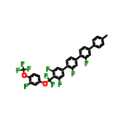 Cc1ccc(-c2ccc(-c3ccc(-c4cc(F)c(C(F)(F)Oc5ccc(OC(F)(F)F)c(F)c5)c(F)c4)c(F)c3)c(F)c2)cc1